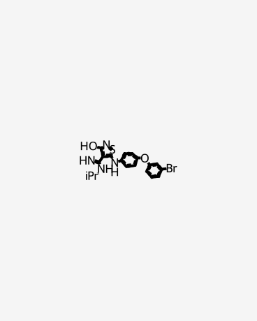 CC(C)NC(=N)c1c(O)nsc1Nc1ccc(Oc2cccc(Br)c2)cc1